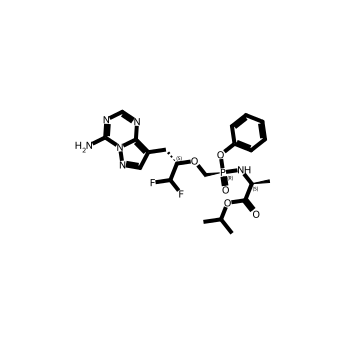 CC(C)OC(=O)[C@H](C)N[P@@](=O)(CO[C@@H](Cc1cnn2c(N)ncnc12)C(F)F)Oc1ccccc1